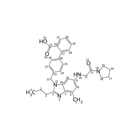 CCCc1nc2c(C)cc(NCC(=O)N3CCCC3)cc2n1Cc1ccc(-c2ccccc2C(=O)O)cc1